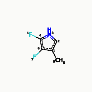 Cc1c[nH]c(F)c1F